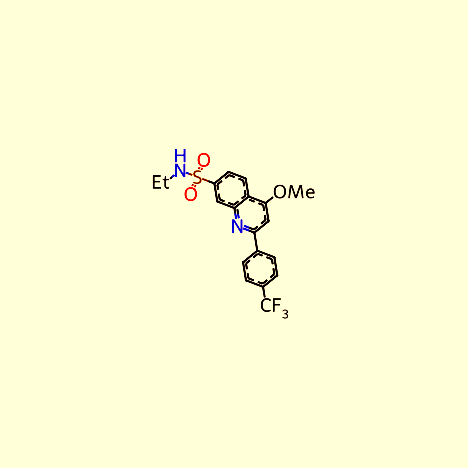 CCNS(=O)(=O)c1ccc2c(OC)cc(-c3ccc(C(F)(F)F)cc3)nc2c1